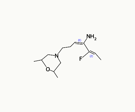 C/C=C(F)/C(N)=C\CCN1CC(C)OC(C)C1